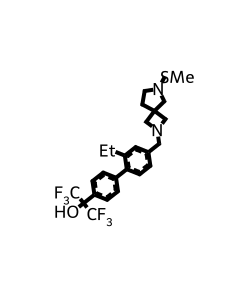 CCc1cc(CN2CC3(CCN(SC)C3)C2)ccc1-c1ccc(C(O)(C(F)(F)F)C(F)(F)F)cc1